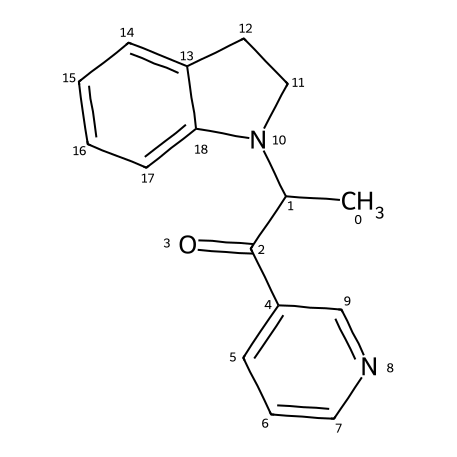 CC(C(=O)c1cccnc1)N1CCc2ccccc21